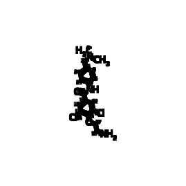 CN(C)Cc1ccc(NC(=O)c2cc(Cl)c(OCCN)c(Cl)c2)cc1